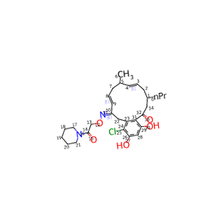 CCCC1C/C=C/C(C)C/C=C/C(=N/OCC(=O)N2CCCCC2)Cc2c(Cl)c(O)cc(O)c2C(=O)C1